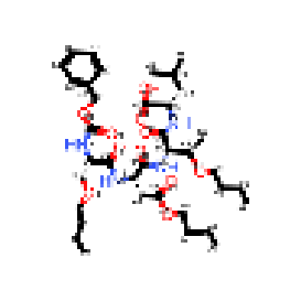 CCCCOC[C@H](NC(=O)OCc1ccccc1)C(=O)N[C@@H](CC(=O)OCCCC)C(=O)N[C@H](C(=O)N[C@@H](CC(C)C)C(=O)O)[C@@H](C)OCCCC